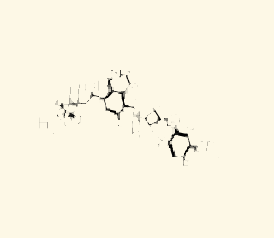 NS(=O)(=O)NCC(O)c1cc(F)c(CN[C@H]2C[C@H](Oc3ccc(F)c(C(F)(F)F)c3)C2)c2ccncc12